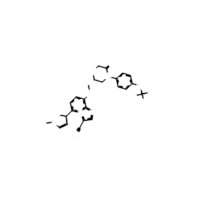 CN1C=CC(c2ccc(OC[C@@H]3CN(c4ccc(OC(F)(F)F)cc4)C(=O)CO3)c3ncc(C#N)n23)N1